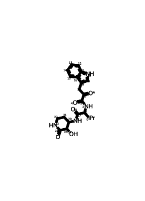 CC(C)C(NC(=O)C(=O)Cc1c[nH]c2ccccc12)C(=O)NC1CCNC(=O)C1O